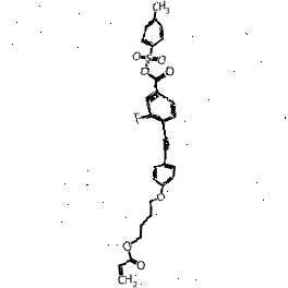 C=CC(=O)OCCCCOc1ccc(C#Cc2ccc(C(=O)OS(=O)(=O)c3ccc(C)cc3)cc2F)cc1